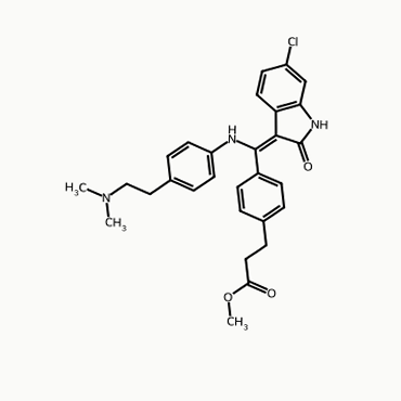 COC(=O)CCc1ccc(C(Nc2ccc(CCN(C)C)cc2)=C2C(=O)Nc3cc(Cl)ccc32)cc1